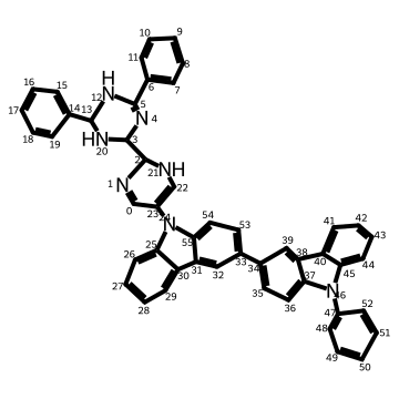 C1=NC(C2N=C(c3ccccc3)NC(c3ccccc3)N2)NC=C1n1c2ccccc2c2cc(-c3ccc4c(c3)c3ccccc3n4-c3ccccc3)ccc21